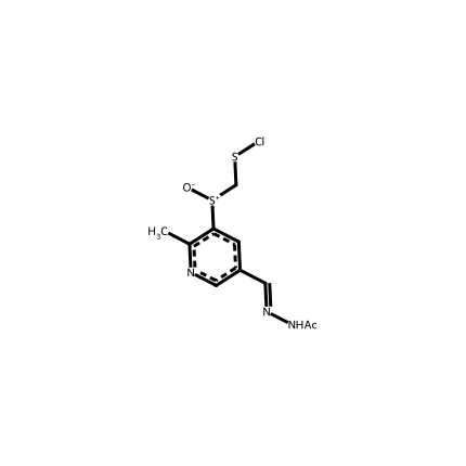 CC(=O)N/N=C/c1cnc(C)c([S+]([O-])CSCl)c1